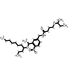 CCCCCCCC(CCC)OC(C)c1cc(CNC(=O)CCCOC(C)CC)ccc1[N+](=O)[O-]